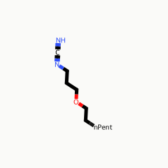 CCCCCCCOCCCN=C=N